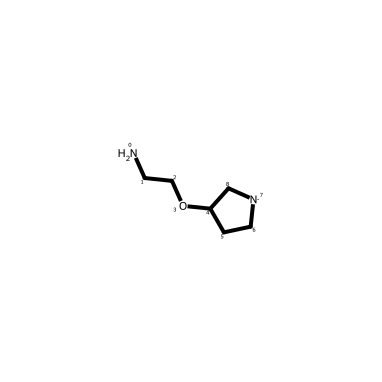 NCCOC1CC[N]C1